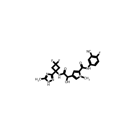 Cc1nc(C2(NC(=O)C(O)c3cc(C(=O)Nc4ccc(F)c(C#N)c4)n(C)c3)CC(F)(F)C2)n[nH]1